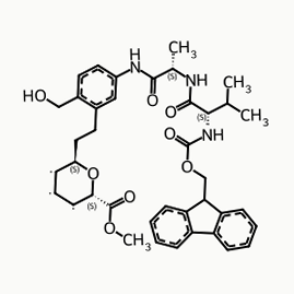 COC(=O)[C@@H]1[CH][CH][CH][C@@H](CCc2cc(NC(=O)[C@H](C)NC(=O)[C@@H](NC(=O)OCC3c4ccccc4-c4ccccc43)C(C)C)ccc2CO)O1